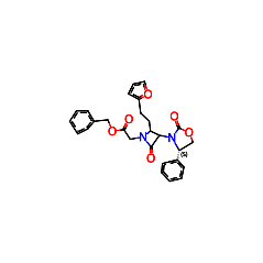 O=C(CN1C(=O)C(N2C(=O)OC[C@@H]2c2ccccc2)C1CCc1ccco1)OCc1ccccc1